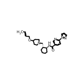 CC=CCOC1CCN(C[C@H]2CCCC[C@@H]2NC(=O)c2ccc(-n3cccn3)nc2)CC1